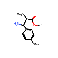 COc1ccc(C(N)C(C(=O)O)C(=O)OC(C)(C)C)cc1